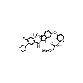 COCC(=O)Nc1cc(Oc2ccc3c(c2)nc(Nc2ccc(F)c(C4CCOC4)c2)n3C)ccn1